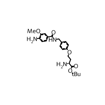 COc1cc(C(=O)NCc2ccc(OCC[C@H](N)C(=O)OC(C)(C)C)cc2)ccc1N